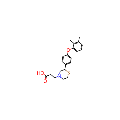 Cc1cccc(Oc2ccc(C3CN(CCC(=O)O)CCS3)cc2)c1C